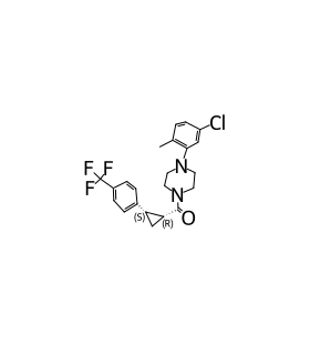 Cc1ccc(Cl)cc1N1CCN(C(=O)[C@@H]2C[C@@H]2c2ccc(C(F)(F)F)cc2)CC1